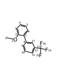 [CH2]Oc1ccccc1-c1cccc(C(F)(F)F)c1